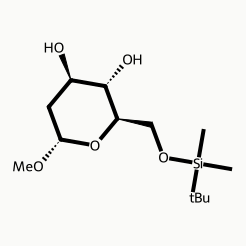 CO[C@@H]1C[C@@H](O)[C@H](O)[C@@H](CO[Si](C)(C)C(C)(C)C)O1